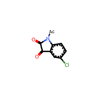 CC(=O)N1C(=O)C(=O)c2cc(Cl)ccc21